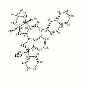 CC1(C)O[C@H]2O[C](CO[Si](c3ccccc3)(c3ccccc3)C(C)(C)C)[C@H](OCc3ccc4ccccc4c3)[C@H]2O1